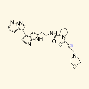 O=C(NCCc1cc2c(-c3cnn4ncccc34)ccnc2[nH]1)C1CCCN1C(=O)/C=C/CN1CCOCC1